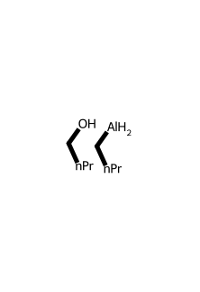 CCCCO.CCC[CH2][AlH2]